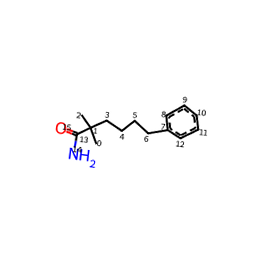 CC(C)(CCCCc1ccccc1)C(N)=O